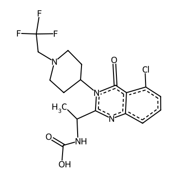 CC(NC(=O)O)c1nc2cccc(Cl)c2c(=O)n1C1CCN(CC(F)(F)F)CC1